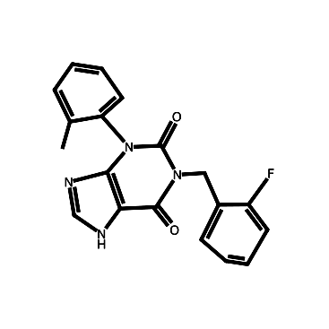 Cc1ccccc1-n1c(=O)n(Cc2ccccc2F)c(=O)c2[nH]cnc21